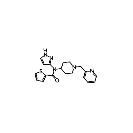 O=C(c1cccs1)N(c1cc[nH]n1)C1CCN(Cc2ccccn2)CC1